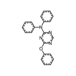 c1ccc(Oc2ncnc(N(c3ccccc3)c3ccccc3)n2)cc1